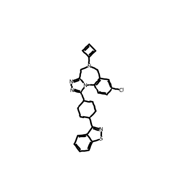 Clc1ccc2c(c1)CN(C1=CC=C1)Cc1nnc(C3CCC(c4nsc5ccccc45)CC3)n1-2